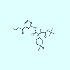 CCCC(=O)c1ccnc(NC(=O)[C@@H](NC(=O)OC(C)(C)C)C2CCC(F)(F)CC2)c1